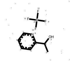 CC(O)c1ccccn1.F[B-](F)(F)F